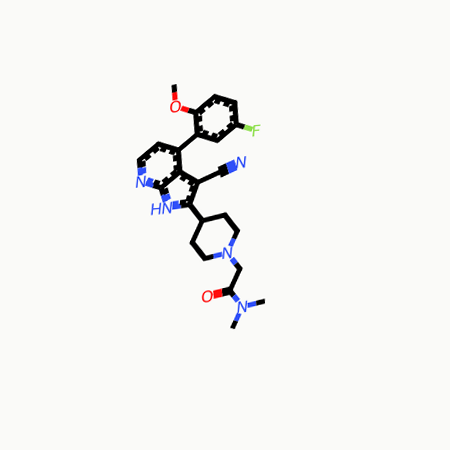 COc1ccc(F)cc1-c1ccnc2[nH]c(C3CCN(CC(=O)N(C)C)CC3)c(C#N)c12